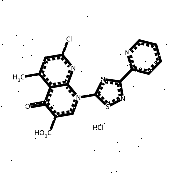 Cc1cc(Cl)nc2c1c(=O)c(C(=O)O)cn2-c1nc(-c2ccccn2)ns1.Cl